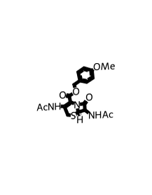 COc1ccc(COC(=O)C2=C(NC(C)=O)CS[C@H]3C(NC(C)=O)C(=O)N23)cc1